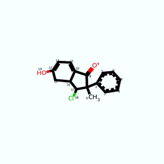 CC1(c2ccccc2)C(=O)C2=CC=C(O)CC2C1Cl